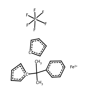 CC(C)(c1ccccc1)[c-]1cccc1.F[P-](F)(F)(F)(F)F.[Fe+2].c1cc[cH-]c1